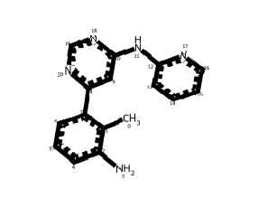 Cc1c(N)cccc1-c1cc(Nc2ccccn2)ncn1